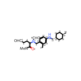 CNC(=O)C(CCC=O)N(C=O)Cc1ccc(NC[C@H]2CC[C@H](C)CC2)cc1C